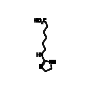 O=C(O)CCCCCNC1=NCCN1